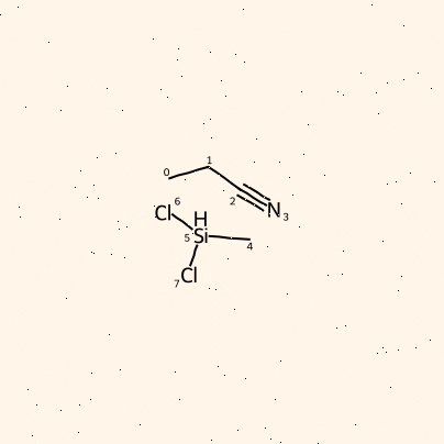 CCC#N.C[SiH](Cl)Cl